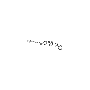 CCCCCCCOc1ccc(Nc2nc(C3=CCC(c4ccccn4)S3)cs2)cc1